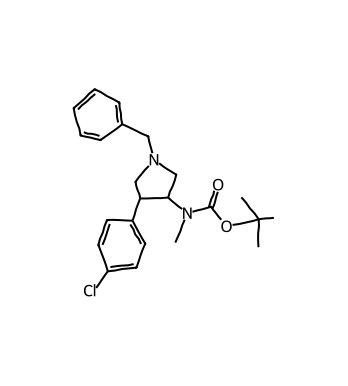 CN(C(=O)OC(C)(C)C)C1CN(Cc2ccccc2)CC1c1ccc(Cl)cc1